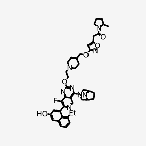 CCc1cccc2cc(O)cc(-c3ncc4c(N5CC6CCC(C5)N6)nc(OCCN5CCC(COc6cc(CC(=O)N7CCCC7C)on6)CC5)nc4c3F)c12